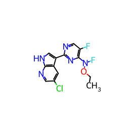 CCON(F)c1nc(-c2c[nH]c3ncc(Cl)cc23)ncc1F